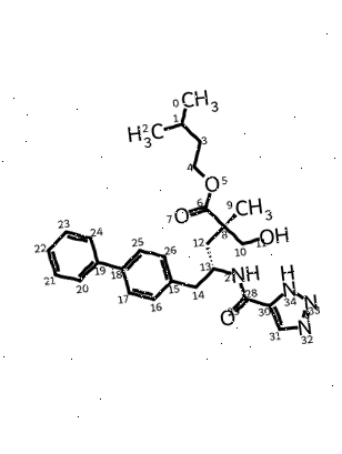 CC(C)CCOC(=O)[C@](C)(CO)C[C@@H](Cc1ccc(-c2ccccc2)cc1)NC(=O)c1cnn[nH]1